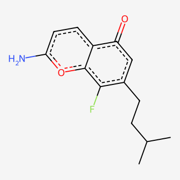 CC(C)CCc1cc(=O)c2ccc(N)oc-2c1F